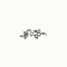 Nc1cc2ncn([C@@H]3O[C@H](C(O)OP(=O)(O)O)[C@@H](O)[C@H]3O)c2c(=O)[nH]1